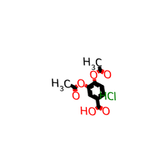 CC(=O)Oc1ccc(C(=O)O)cc1OC(C)=O.Cl